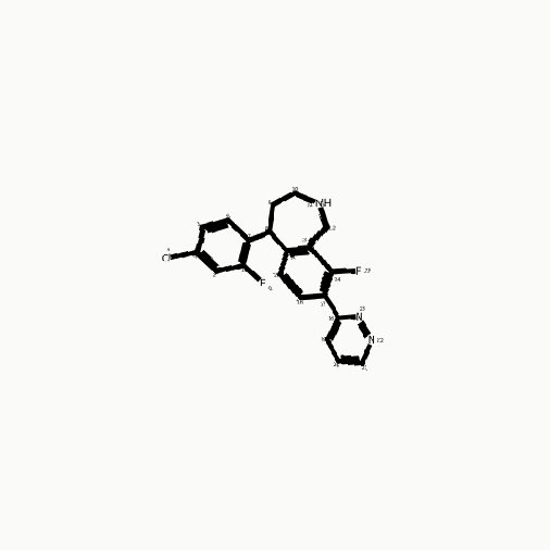 Fc1cc(Cl)ccc1C1CCNCc2c1ccc(-c1cccnn1)c2F